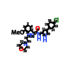 COc1cccc2c(C(=O)Nc3cc(-c4ccc(Cl)cc4)c[nH]3)nn(CCN3CCOCC3)c12